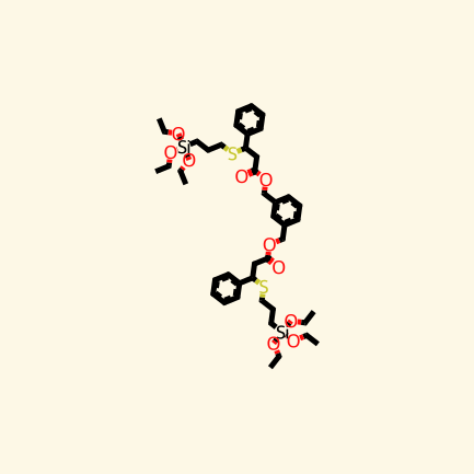 CCO[Si](CCCSC(CC(=O)OCc1cccc(COC(=O)CC(SCCC[Si](OCC)(OCC)OCC)c2ccccc2)c1)c1ccccc1)(OCC)OCC